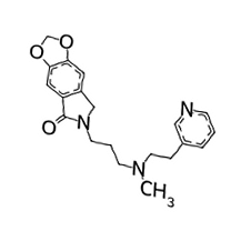 CN(CCCN1Cc2cc3c(cc2C1=O)OCO3)CCc1cccnc1